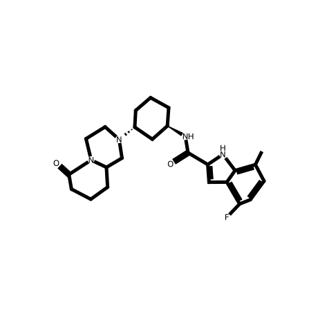 Cc1ccc(F)c2cc(C(=O)N[C@@H]3CCC[C@@H](N4CCN5C(=O)CCCC5C4)C3)[nH]c12